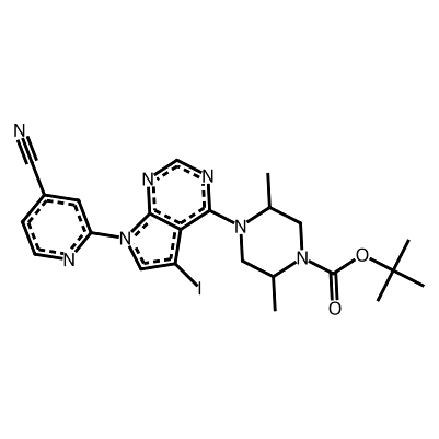 CC1CN(c2ncnc3c2c(I)cn3-c2cc(C#N)ccn2)C(C)CN1C(=O)OC(C)(C)C